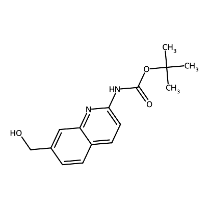 CC(C)(C)OC(=O)Nc1ccc2ccc(CO)cc2n1